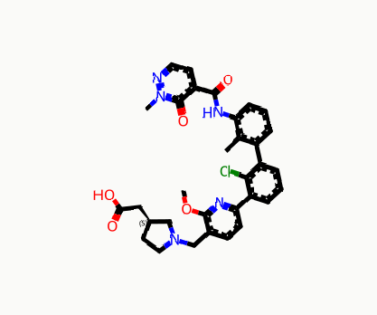 COc1nc(-c2cccc(-c3cccc(NC(=O)c4ccnn(C)c4=O)c3C)c2Cl)ccc1CN1CC[C@@H](CC(=O)O)C1